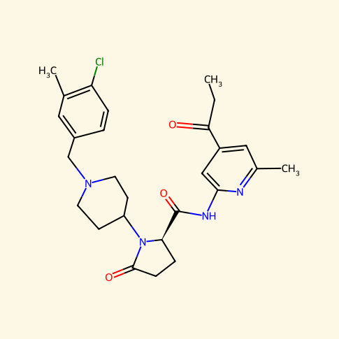 CCC(=O)c1cc(C)nc(NC(=O)[C@H]2CCC(=O)N2C2CCN(Cc3ccc(Cl)c(C)c3)CC2)c1